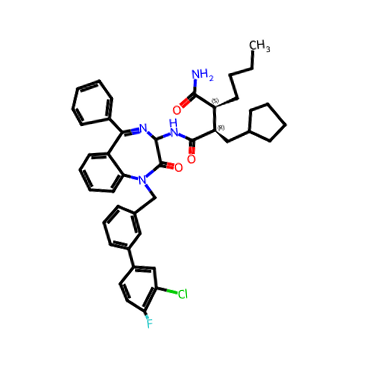 CCCC[C@H](C(N)=O)[C@@H](CC1CCCC1)C(=O)NC1N=C(c2ccccc2)c2ccccc2N(Cc2cccc(-c3ccc(F)c(Cl)c3)c2)C1=O